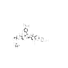 Cn1nnnc1SCC1(C(=O)[O-])CS[C@@H]2C(NC(=O)C(NC(=O)c3c[nH]c4nc(N5CCNCC5)ncc4c3=O)c3ccc(O)cc3)C(=O)N2C1.[Na+]